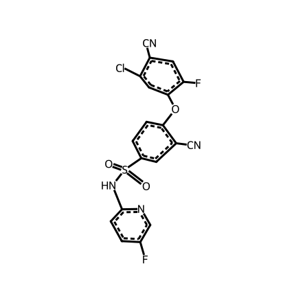 N#Cc1cc(F)c(Oc2ccc(S(=O)(=O)Nc3ccc(F)cn3)cc2C#N)cc1Cl